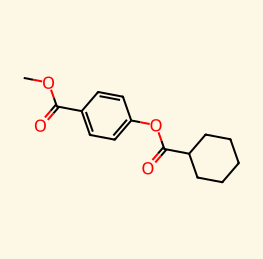 COC(=O)c1ccc(OC(=O)C2CCCCC2)cc1